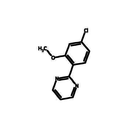 COc1cc(Cl)ccc1-c1ncccn1